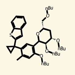 CCCCOC[C@@H]1C[C@H](OCCCC)[C@@H](OCCCC)C(c2cc(C3(c4cc5ccccc5s4)CC3)c(C)cc2OCCCC)O1